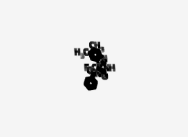 Cc1cc2nc3n(c2cc1C)C(NC(=O)c1ccccc1)(C(F)(F)F)C(=O)N3